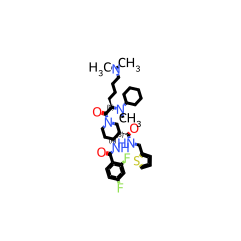 CN(C)CCCC[C@H](C(=O)N1CC[C@@H](NC(=O)c2ccc(F)cc2F)[C@@H](C(=O)NCc2cccs2)C1)N(C)C1CCCCC1